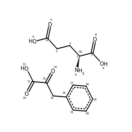 N[C@@H](CCC(=O)O)C(=O)O.O=C(O)C(=O)Cc1ccccc1